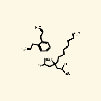 C=CCc1ccccc1CC=C.CCCCC(CC)CC(CCCCCCCC(=O)O)(CC(CC)CCCC)C(=O)O